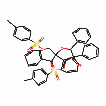 Cc1ccc(S(=O)(=O)OCC(OC(c2ccccc2)C(O)(COS(=O)(=O)c2ccc(C)cc2)c2ccccc2)(C(=O)c2ccccc2)c2ccccc2)cc1